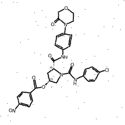 O=Nc1ccc(C(=O)O[C@H]2C[C@H](C(=O)Nc3ccc(N4CCOCC4=O)cc3)N(C(=O)Nc3ccc(Cl)cc3)C2)cc1